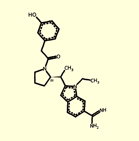 CCn1c(C(C)[C@@H]2CCCN2C(=O)Cc2cccc(O)c2)cc2ccc(C(=N)N)cc21